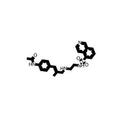 CC(=O)Nc1ccc(C=C(C)CNCCNS(=O)(=O)c2cccc3cnccc23)cc1